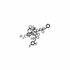 CC1=NO[C@@]2(CC[C@H](C)N3C[C@H]2n2cc(C(=O)NCc4ccc(F)cc4F)c(=O)c(OCOC(=O)OCc4ccccc4)c2C3=O)C1